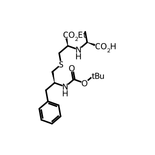 CCOC(=O)[C@H](CSC[C@H](Cc1ccccc1)NC(=O)OC(C)(C)C)N[C@@H](C)C(=O)O